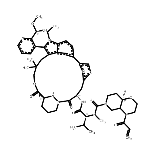 C=CC(=O)N1CCO[C@@H]2CCN(C(=O)N(C)[C@H](C(=O)N[C@H]3Cc4nc(cs4)-c4ccc5c(c4)c(c(-c4cccnc4[C@H](C)OC)n5CC)CC(C)(C)COC(=O)[C@@H]4CCCN(N4)C3=O)C(C)C)CC21